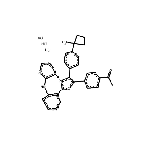 CC(=O)c1ccc(-c2nc3n(c2-c2ccc(C4(N)CCC4)cc2)-c2cccnc2Nc2ccccc2-3)cc1.Cl.Cl.Cl